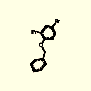 CC(C)c1cc(Br)ccc1OCc1ccccc1